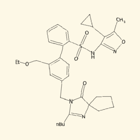 CCCCC1=NC2(CCCC2)C(=O)N1Cc1ccc(-c2ccccc2S(=O)(=O)Nc2noc(C)c2C2CC2)c(COCC)c1